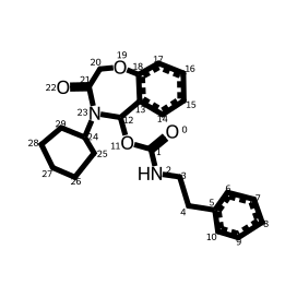 O=C(NCCc1ccccc1)OC1c2ccccc2OCC(=O)N1C1CCCCC1